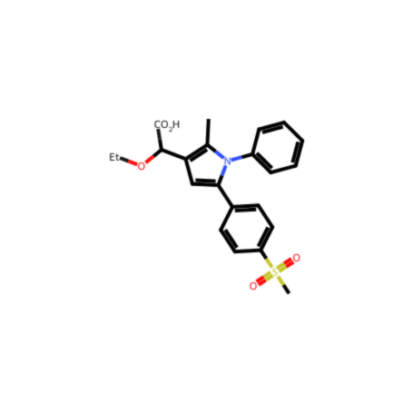 CCOC(C(=O)O)c1cc(-c2ccc(S(C)(=O)=O)cc2)n(-c2ccccc2)c1C